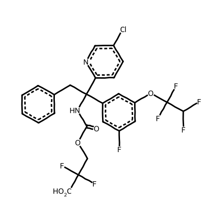 O=C(NC(Cc1ccccc1)(c1cc(F)cc(OC(F)(F)C(F)F)c1)c1ccc(Cl)cn1)OCC(F)(F)C(=O)O